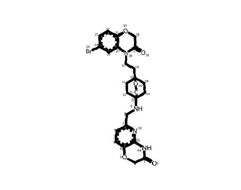 O=C1COc2ccc(CNC34CCC(CCN5C(=O)COc6ccc(Br)cc65)(CC3)OC4)nc2N1